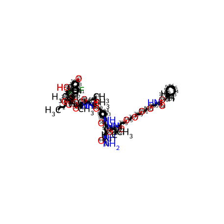 CCCC1O[C@@H]2C[C@H]3[C@@H]4C[C@H](F)C5=CC(=O)C=C[C@]5(C)[C@@]4(F)[C@@H](O)C[C@]3(C)[C@]2(C(=O)COC(=O)C(C)(C)NC(=O)[C@H](CC(C)C)NC(=O)OCc2ccc(NC(=O)[C@H](CCCNC(N)=O)NC(=O)[C@@H](NC(=O)CCOCCOCCOCCOCCNC(=O)OC[C@@H]3[C@@H]4CCC#CCC[C@@H]43)C(C)C)cc2)O1